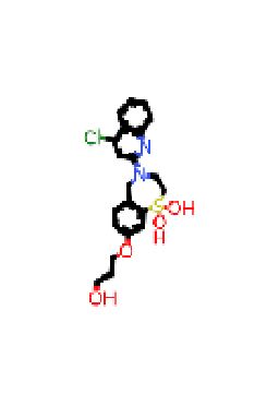 OCCCOc1ccc2c(c1)S(O)(O)CCN(c1cc(Cl)c3ccccc3n1)C2